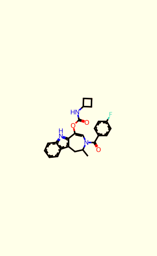 CC1Cc2c([nH]c3ccccc23)C(OC(=O)NC2CCC2)=CN1C(=O)c1ccc(F)cc1